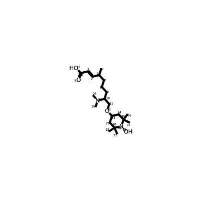 CC(/C=C/C(=O)O)CCCC(COC1CC(C)(C)N(O)C(C)(C)C1)N(C)C